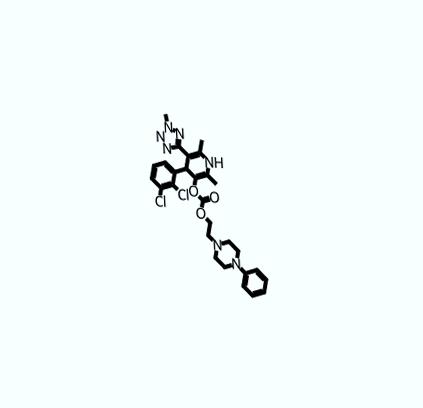 CC1=C(OC(=O)OCCN2CCN(c3ccccc3)CC2)C(c2cccc(Cl)c2Cl)C(c2nnn(C)n2)=C(C)N1